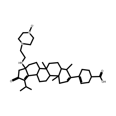 CC(C)C1=C2C3CCC4C5(C)CC=C(C6=CCC(C(=O)O)CC6)C(C)C5CCC4(C)C3CCC2(NCCN2CC[S+]([O-])CC2)CC1=O